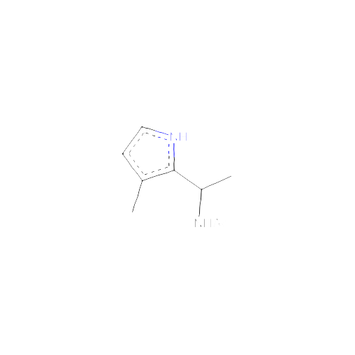 CC(=O)NC(C)c1[nH]ccc1C